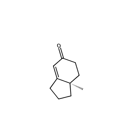 C[C@]12CCCC1=CC(=O)CC2